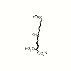 C.CCCCCCCCCCCCCCCCCCCC=CC(C(=O)O)C(=O)O